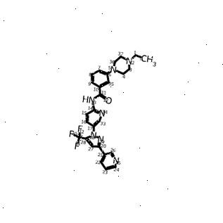 CCN1CCN(c2cccc(C(=O)Nc3ccc(-n4nc(-c5cccnc5)cc4C(F)(F)F)cn3)c2)CC1